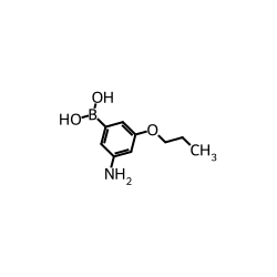 CCCOc1cc(N)cc(B(O)O)c1